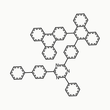 c1ccc(-c2ccc(-c3nc(-c4ccccc4)nc(-c4ccc(-c5c(-c6ccc7c8ccccc8c8ccccc8c7c6)c6ccccc6c6ccccc56)cc4)n3)cc2)cc1